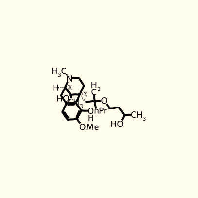 CCCC(C)(C[C@]12CCN(C)[C@H](Cc3ccc(OC)c(O)c31)C2(C)O)OCCC(C)O